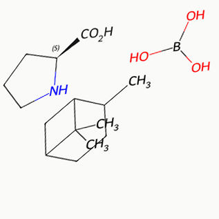 CC1CCC2CC1C2(C)C.O=C(O)[C@@H]1CCCN1.OB(O)O